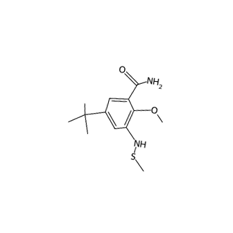 COc1c(NSC)cc(C(C)(C)C)cc1C(N)=O